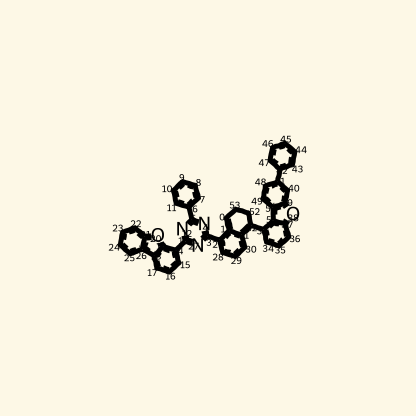 C1=c2c(-c3nc(-c4ccccc4)nc(-c4cccc5c4oc4ccccc45)n3)cccc2=C(c2cccc3oc4cc(-c5ccccc5)ccc4c23)CC1